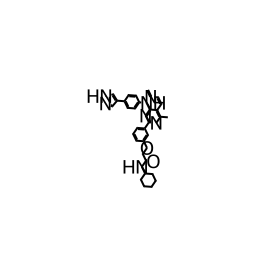 C=N/C=C\c1c(C)nc(-c2cccc(OCC(=O)NC3CCCCC3)c2)nc1Nc1ccc(-c2cn[nH]c2)cc1